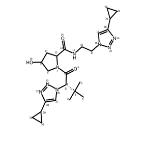 CC(C)(C)[C@@H](C(=O)N1CC(O)CC1C(=O)NCCn1cc(C2CC2)nn1)n1cc(C2CC2)nn1